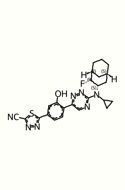 N#Cc1nnc(-c2ccc(-c3cnc(N(C4CC4)[C@H]4C[C@H]5CCC[C@H](C5)[C@H]4F)nn3)c(O)c2)s1